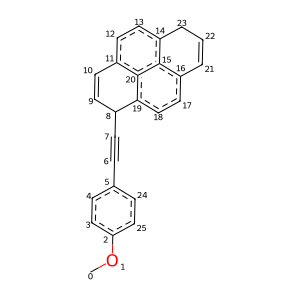 COc1ccc(C#CC2C=Cc3ccc4c5c(ccc2c35)C=CC4)cc1